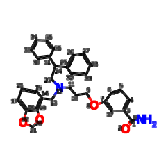 NC(=O)c1cccc(OCCCN(Cc2cccc3c2OCO3)CC(c2ccccc2)c2ccccc2)c1